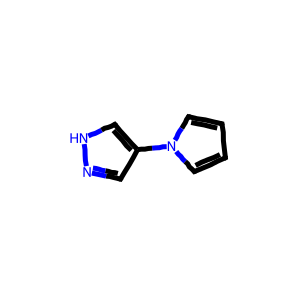 c1ccn(-c2cn[nH]c2)c1